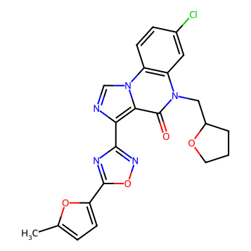 Cc1ccc(-c2nc(-c3ncn4c3c(=O)n(CC3CCCO3)c3cc(Cl)ccc34)no2)o1